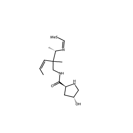 C/C=C\C(C)(CNC(=O)[C@@H]1C[C@@H](O)CN1)[C@H](C)/N=C\SC